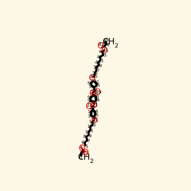 C=CC(=O)OCCCCCCCCCCOc1ccc(C(=O)Oc2ccc(OC(=O)c3ccc(OCCCCCCCCCCOC(=O)C=C)cc3)cc2)cc1